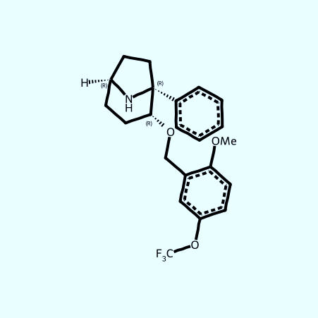 COc1ccc(OC(F)(F)F)cc1CO[C@@H]1CC[C@H]2CC[C@]1(c1ccccc1)N2